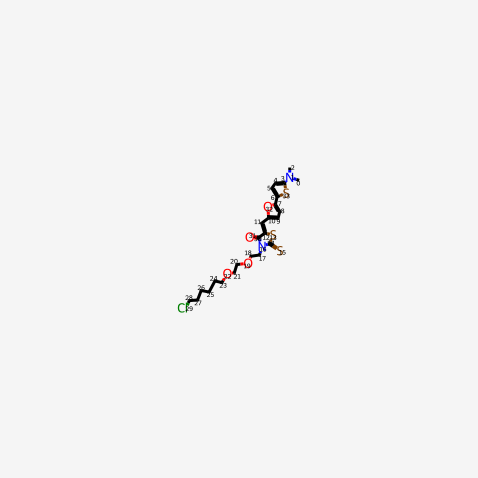 CN(C)c1ccc(-c2ccc(/C=C3\SC(=S)N(CCOCCOCCCCCCCl)C3=O)o2)s1